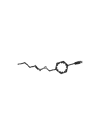 CCC/[C]=N/OCc1ccc(C#N)cc1